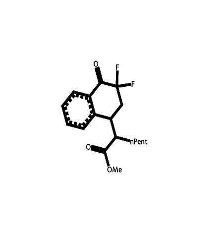 CCCCCC(C(=O)OC)C1CC(F)(F)C(=O)c2ccccc21